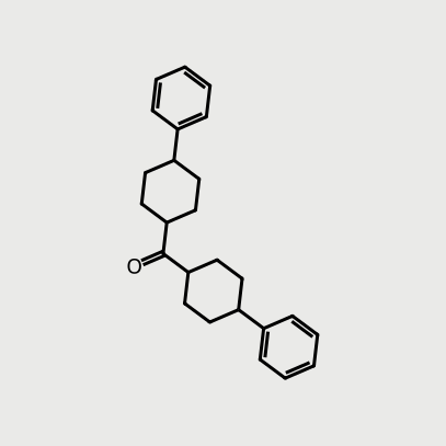 O=C(C1CCC(c2ccccc2)CC1)C1CCC(c2ccccc2)CC1